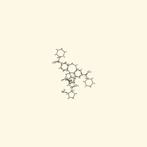 C[C@@H](CC1(c2nnn[nH]2)c2ccc(C(=O)N3CCCCC3)cc2CCc2cc(C(=O)N3CCCCC3)ccc21)NCC(=O)N1CCC[C@H]1C#N